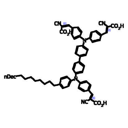 [C-]#[N+]/C(=C\c1ccc(N(c2ccc(/C=C(/[N+]#[C-])C(=O)O)cc2)c2ccc(-c3ccc(N(c4ccc(/C=C(\C#N)C(=O)O)cc4)c4ccc(CCCCCCCCCCCCCCCCCC)cc4)cc3)cc2)cc1)C(=O)O